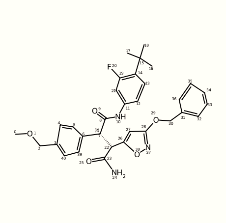 COCc1ccc([C@H](C(=O)Nc2ccc(C(C)(C)C)c(F)c2)C(C(N)=O)c2cc(OCc3ccccc3)no2)cc1